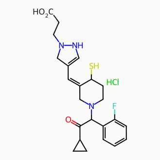 Cl.O=C(O)CCN1CC(C=C2CN(C(C(=O)C3CC3)c3ccccc3F)CCC2S)=CN1